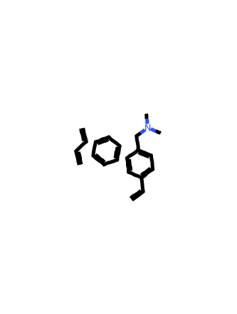 C=CC=C.C=Cc1ccc(CN(C)C)cc1.c1ccccc1